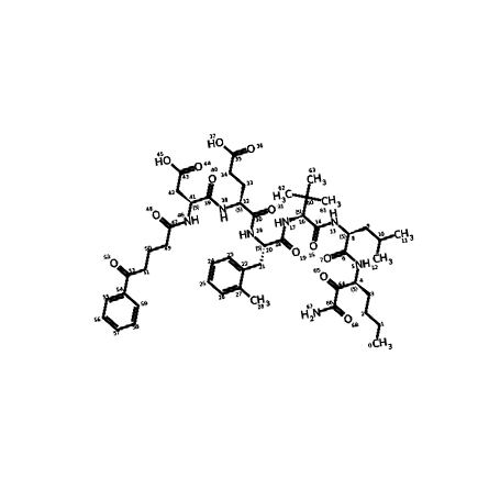 CCCC[C@H](NC(=O)[C@H](CC(C)C)NC(=O)[C@@H](NC(=O)[C@H](Cc1ccccc1C)NC(=O)[C@H](CCC(=O)O)NC(=O)[C@H](CC(=O)O)NC(=O)CCCC(=O)c1ccccc1)C(C)(C)C)C(=O)C(N)=O